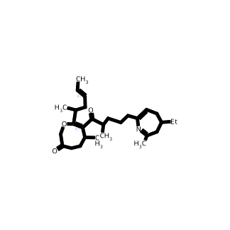 C/C=C/CC(C)/C1=C(\C(=O)C(C)CCCC2=CCC(CC)CC(C)=N2)C(C)CCC(=O)CO1